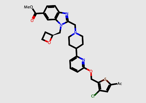 COC(=O)c1ccc2nc(CN3CCC(c4cccc(OCc5sc(C(C)=O)cc5Cl)n4)CC3)n(C[C@@H]3CCO3)c2c1